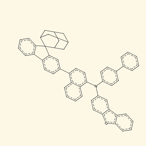 c1ccc(-c2ccc(N(c3ccc4oc5ccccc5c4c3)c3ccc(-c4ccc5c(c4)C4(c6ccccc6-5)C5CC6CC(C5)CC4C6)c4ccccc34)cc2)cc1